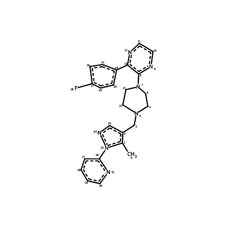 Cc1c(CN2CCN(c3nccnc3-c3ccc(F)cc3)CC2)cnn1-c1ccccn1